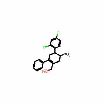 O=[N+]([O-])C1CC(CO)=C(c2ccccc2)CC1c1ccc(Cl)cc1Cl